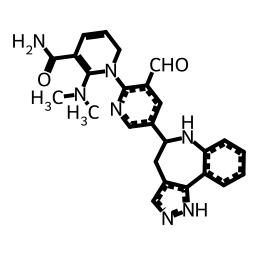 CN(C)C1=C(C(N)=O)C=CCN1c1ncc(C2Cc3cn[nH]c3-c3ccccc3N2)cc1C=O